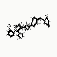 Fc1ccccc1-n1nnc(-c2nc(-c3ccc(CN4CC[C@H](F)C4)cc3)no2)c1-c1ccncc1